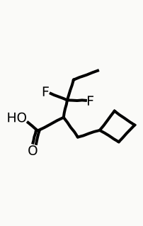 CCC(F)(F)C(CC1CCC1)C(=O)O